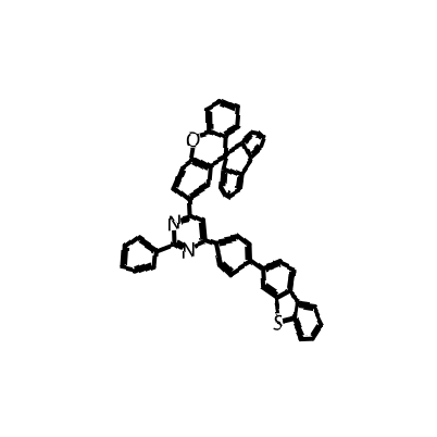 c1ccc(-c2nc(-c3ccc(-c4ccc5c(c4)sc4ccccc45)cc3)cc(-c3ccc4c(c3)C3(c5ccccc5O4)c4ccccc4-c4ccccc43)n2)cc1